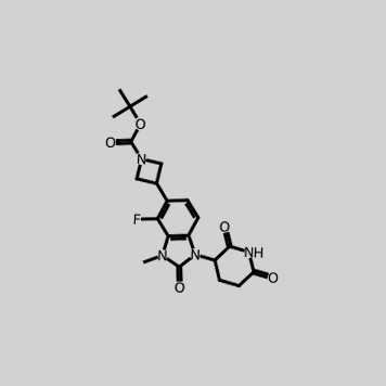 Cn1c(=O)n(C2CCC(=O)NC2=O)c2ccc(C3CN(C(=O)OC(C)(C)C)C3)c(F)c21